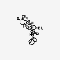 CC1C[C@H]2[C@@H]3CCC4N(C)C(=O)CC[C@]4(C)[C@@H]3CC[C@]2(C)C1C(=O)NC1C2CC3CC(C2)CC1C3